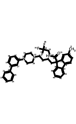 Cc1ccc2c(c1)C(CCCCN1CCN(c3cccc(-c4ccccc4)c3)CC1)(C(=O)NCC(F)(F)F)c1ccccc1-2